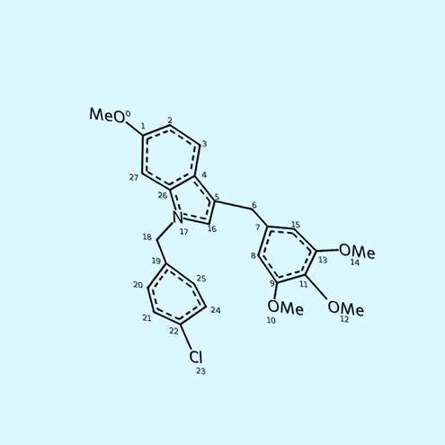 COc1ccc2c(Cc3cc(OC)c(OC)c(OC)c3)cn(Cc3ccc(Cl)cc3)c2c1